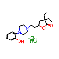 CCC1(CC)CC(CCN2CCN(c3ccccc3O)CC2)OC1=O.Cl.Cl